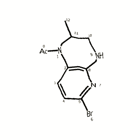 CC(=O)N1c2ccc(Br)nc2NCC1C